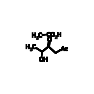 CC(=O)CC(=O)C(C)O.CC(=O)O